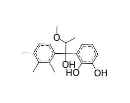 COC(C)C(O)(c1ccc(C)c(C)c1C)c1cccc(O)c1O